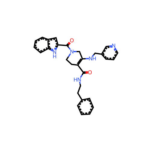 O=C(NCCc1ccccc1)C1=C(NCc2cccnc2)CN(C(=O)c2cc3ccccc3[nH]2)CC1